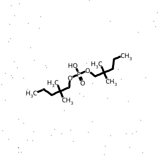 CCCC(C)(C)COP(=O)(O)OCC(C)(C)CCC